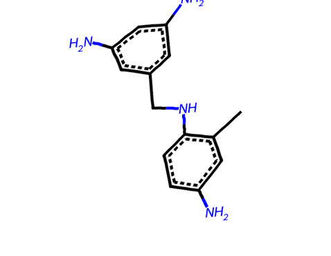 Cc1cc(N)ccc1NCc1cc(N)cc(N)c1